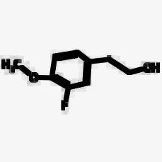 COc1ccc([CH]CO)cc1F